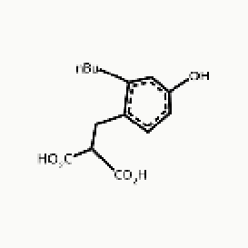 CCCCc1cc(O)ccc1CC(C(=O)O)C(=O)O